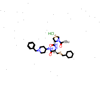 CC(C)(C)C(=O)N1CSC[C@H]1C(=O)N[C@@H](CSCC1CCCCC1)C(=O)NC1CCN(Cc2ccccc2)CC1.Cl